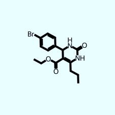 CCCC1=C(C(=O)OCC)C(c2ccc(Br)cc2)NC(=O)N1